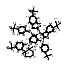 CC(C)(C)c1ccc(N2c3cc(N4c5ccc(C(C)(C)C)cc5C5(C)CCCCC45C)cc4c3B(c3sc5cc(C(C)(C)C)ccc5c3N4c3ccc(C(C)(C)C)cc3)c3c2sc2cc(C(C)(C)C)ccc32)cc1